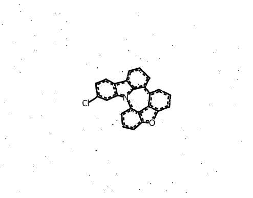 Clc1ccc2c3cccc4c5cccc6oc7cccc(c7c65)n(c2c1)c43